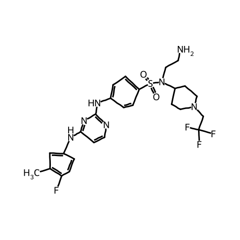 Cc1cc(Nc2ccnc(Nc3ccc(S(=O)(=O)N(CCN)C4CCN(CC(F)(F)F)CC4)cc3)n2)ccc1F